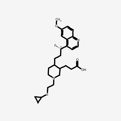 COc1ccc2nccc([C@@H](F)CCC3CCN(CCSC4CC4)CC3CCC(=O)O)c2c1